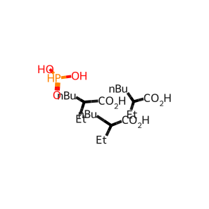 CCCCC(CC)C(=O)O.CCCCC(CC)C(=O)O.CCCCC(CC)C(=O)O.O=[PH](O)O